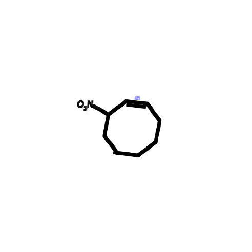 O=[N+]([O-])C1/C=C\CCC[CH]C1